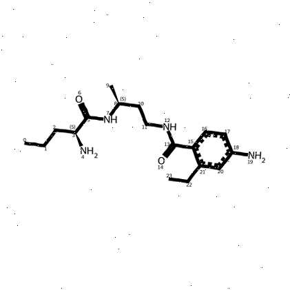 CCC[C@H](N)C(=O)N[C@@H](C)CCNC(=O)c1ccc(N)cc1CC